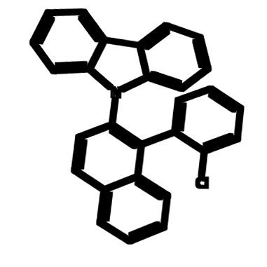 Clc1ccccc1-c1c(-n2c3ccccc3c3ccccc32)ccc2ccccc12